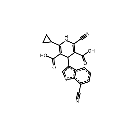 N#CC1=C(C(=O)O)C(c2csc3c(C#N)cccc23)C(C(=O)O)=C(C2CC2)N1